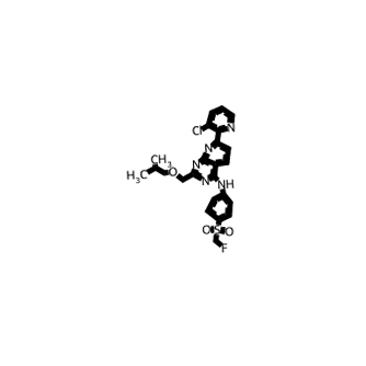 CC(C)COCc1nc(Nc2ccc(S(=O)(=O)CF)cc2)c2ccc(-c3ncccc3Cl)nc2n1